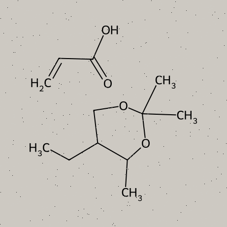 C=CC(=O)O.CCC1COC(C)(C)OC1C